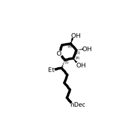 CCCCCCCCCCCCCCC(CC)[C@@H]1OC[C@@H](O)[C@H](O)[C@H]1O